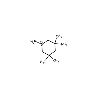 CC1(C)C[SH](N)CC(C)(N)C1